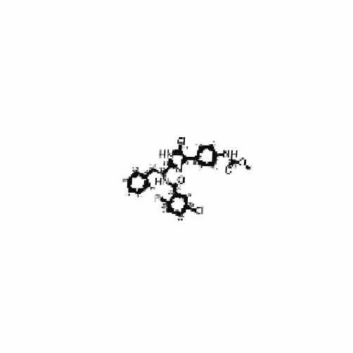 COC(=O)Nc1ccc(-c2nc([C@H](Cc3ccccc3)NC(=O)c3cc(Cl)ccc3F)[nH]c2Cl)cc1